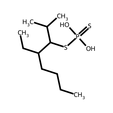 CCCCC(CC)C(SP(O)(O)=S)C(C)C